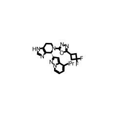 CC(C)c1cccn2nc([C@@H]3c4nc[nH]c4CCN3c3nnc(C4CC(F)(F)C4)o3)cc12